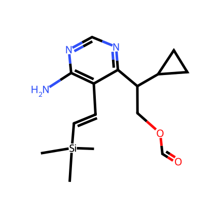 C[Si](C)(C)C=Cc1c(N)ncnc1C(COC=O)C1CC1